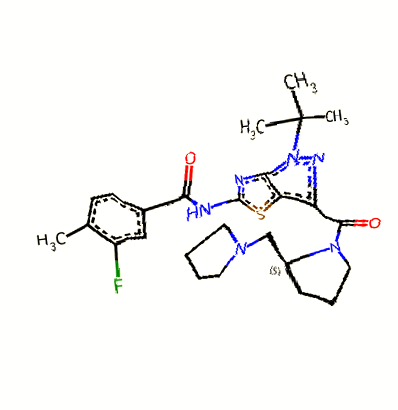 Cc1ccc(C(=O)Nc2nc3c(s2)c(C(=O)N2CCC[C@H]2CN2CCCC2)nn3C(C)(C)C)cc1F